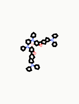 c1ccc(N(c2ccccc2)c2ccc3cc4c(cc3c2)oc2cc3c(cc24)N(c2ccccc2)c2cccc4c2B3c2cc3oc5cc6cc(N(c7ccccc7)c7ccccc7)ccc6cc5c3cc2N4c2ccccc2)cc1